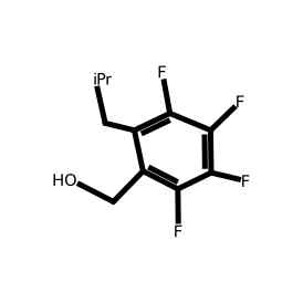 CC(C)Cc1c(F)c(F)c(F)c(F)c1CO